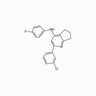 Fc1ccc(Nc2cc(-c3cccc(Cl)c3)nc3c2CCC3)cc1